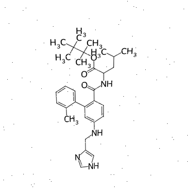 Cc1ccccc1-c1cc(NCc2c[nH]cn2)ccc1C(=O)NC(CC(C)C)C(=O)OC(C)(C)C(C)(C)C